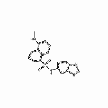 CNc1cccc2c(S(=O)(=O)Nc3ccc4nsnc4c3)cccc12